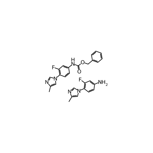 Cc1cn(-c2ccc(N)cc2F)cn1.Cc1cn(-c2ccc(NC(=O)OCc3ccccc3)cc2F)cn1